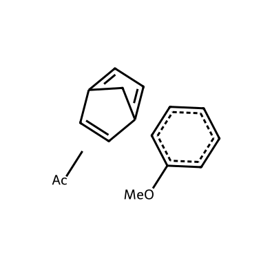 C1=CC2=CC=C1C2.CC(C)=O.COc1ccccc1